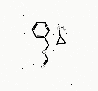 NC1CC1.O=COCc1ccccc1